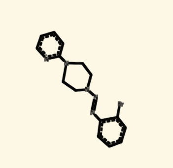 Brc1ccccc1/N=N/N1CCN(c2ccccn2)CC1